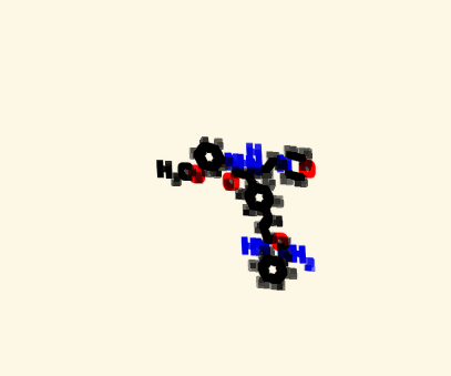 COc1cccc(NC(=O)C(NCCN2CCOCC2)c2ccc(C=CC(=O)Nc3ccccc3N)cc2)c1